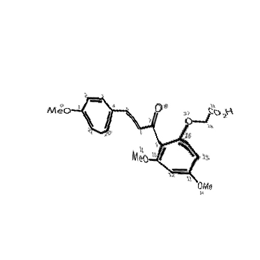 COc1ccc(/C=C/C(=O)c2c(OC)cc(OC)cc2OCC(=O)O)cc1